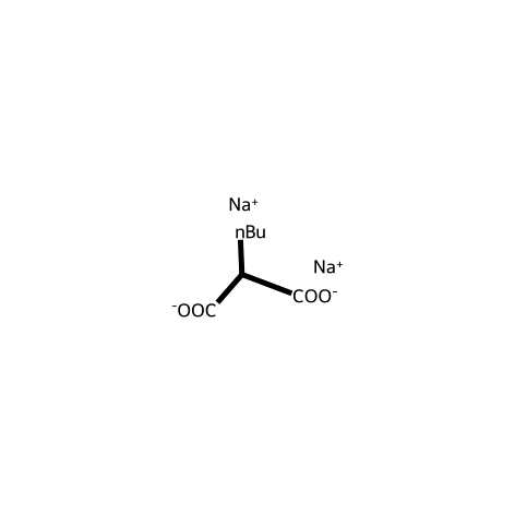 CCCCC(C(=O)[O-])C(=O)[O-].[Na+].[Na+]